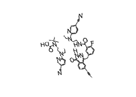 CC#Cc1ccc2c(=O)[nH]nc(Cc3ccc(F)c(C(=O)NCCN(CC)c4ccc(C#N)cn4)c3)c2c1.CCN(CCN(C(=O)O)C(C)(C)C)c1ccc(C#N)cn1